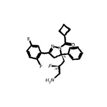 NC[C@@H](F)C[C@@]1(c2ccccc2)CC(c2cc(F)ccc2F)=NN1C(=O)C1CCC1